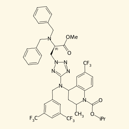 COC(=O)[C@@H](Cn1nnc(N(Cc2cc(C(F)(F)F)cc(C(F)(F)F)c2)C2CC(C)N(C(=O)OC(C)C)c3ccc(C(F)(F)F)cc32)n1)N(Cc1ccccc1)Cc1ccccc1